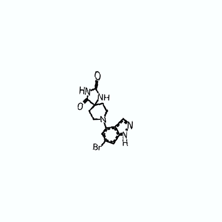 O=C1NC(=O)C2(CCN(c3cc(Br)cc4[nH]ncc34)CC2)N1